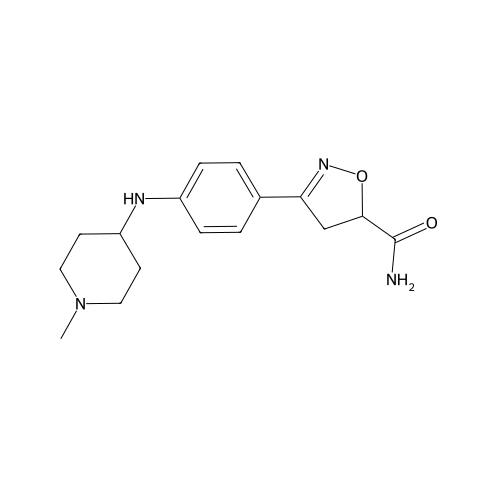 CN1CCC(Nc2ccc(C3=NOC(C(N)=O)C3)cc2)CC1